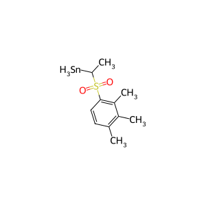 Cc1ccc(S(=O)(=O)[CH](C)[SnH3])c(C)c1C